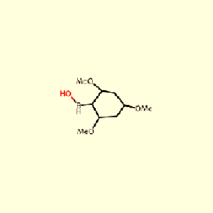 COC1CC(OC)C(BO)C(OC)C1